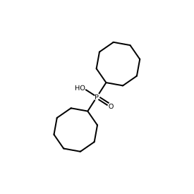 O=P(O)(C1CCCCCCC1)C1CCCCCCC1